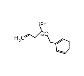 C=CC[C@H](OCc1ccccc1)C(C)C